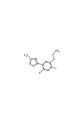 Cc1cc(F)c(-n2ccc(C(F)(F)F)n2)cc1SCC(F)(F)F